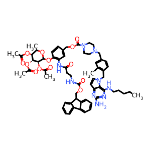 CCCCCNc1nc(N)nc2ccn(Cc3ccc(CN4CCN(C(=O)OCc5ccc(OC6O[C@@H](C)[C@H](OC(C)=O)[C@@H](OC(C)=O)[C@@H]6OC(C)=O)c(NC(=O)CCNC(=O)OCC6c7ccccc7-c7ccccc76)c5)CC4)cc3C)c12